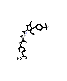 C/C(=N\NC(=S)Nc1ccc(C(=O)O)cc1)c1nn(C)c(-c2ccc(C(C)(C)C)cc2)c1O